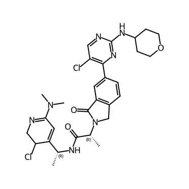 C[C@H](C(=O)N[C@H](C)C1=CC(N(C)C)=NCC1Cl)N1Cc2ccc(-c3nc(NC4CCOCC4)ncc3Cl)cc2C1=O